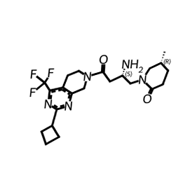 C[C@@H]1CCC(=O)N(C[C@@H](N)CC(=O)N2CCc3c(nc(C4CCC4)nc3C(F)(F)F)C2)C1